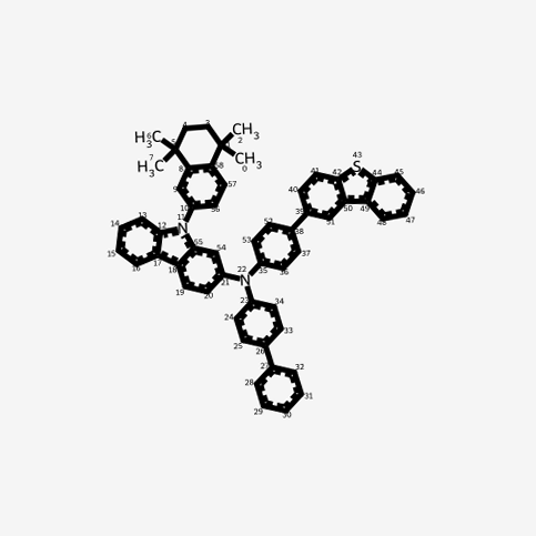 CC1(C)CCC(C)(C)c2cc(-n3c4ccccc4c4ccc(N(c5ccc(-c6ccccc6)cc5)c5ccc(-c6ccc7sc8ccccc8c7c6)cc5)cc43)ccc21